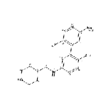 Nc1cc(-c2nc(NCC3CCOCC3)ccc2Cl)c(F)cn1